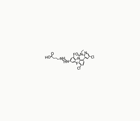 CCN1C(=O)N(c2c(F)cc(NCCNCCCC(=O)O)cc2F)c2cc(Cl)ccc2-c2cc(Cl)cnc21